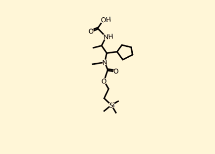 CC(NC(=O)O)C(C1CCCC1)N(C)C(=O)OCC[Si](C)(C)C